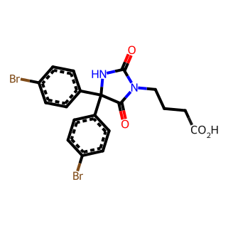 O=C(O)CCCN1C(=O)NC(c2ccc(Br)cc2)(c2ccc(Br)cc2)C1=O